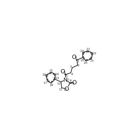 O=C(CCCC(=O)N1C(=O)OCC1c1ccccc1)c1ccccc1